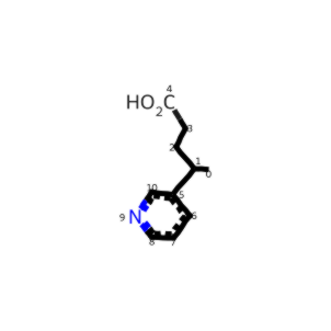 CC(CCC(=O)O)c1cccnc1